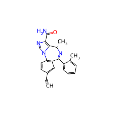 C#Cc1ccc2c(c1)C(c1ccccc1C)=N[C@@H](C)c1c(C(N)=O)ncn1-2